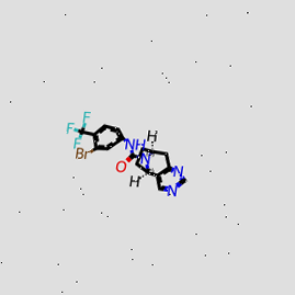 O=C(Nc1ccc(C(F)(F)F)c(Br)c1)N1[C@H]2CC[C@@H]1c1cncnc1C2